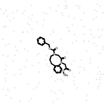 CC(C)(C)OC(=O)CN1C(=O)CN(C(=O)OCc2ccccc2)CCCc2ccccc21